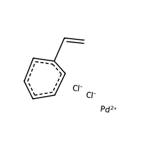 C=Cc1ccccc1.[Cl-].[Cl-].[Pd+2]